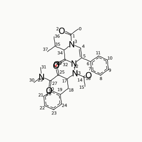 CC(=O)N1C=C(c2ccccc2)N(N(C(C)=O)C(Cc2ccccc2)C(=O)C(=O)N(C)C)C(=O)C1C(C)C